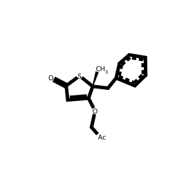 CC(=O)COC1=CC(=O)S[C@]1(C)Cc1ccccc1